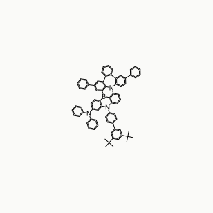 CC(C)(C)c1cc(-c2ccc(N3c4cc(N(c5ccccc5)c5ccccc5)ccc4B4c5cc(-c6ccccc6)cc6c5N(c5ccc(-c7ccccc7)cc5-c5ccccc5-6)c5cccc3c54)cc2)cc(C(C)(C)C)c1